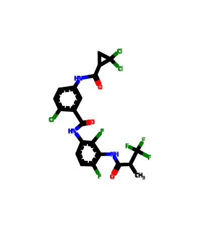 CC(C(=O)Nc1c(F)ccc(NC(=O)c2cc(NC(=O)C3CC3(Cl)Cl)ccc2Cl)c1F)C(F)(F)F